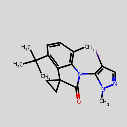 Cc1ccc(C(C)(C)C)c2c1N(c1c(I)cnn1C)C(=O)C21CC1